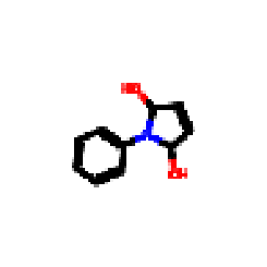 OC1C=CC(O)N1c1ccccc1